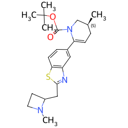 C[C@H]1CC=C(c2ccc3sc(CC4CCN4C)nc3c2)N(C(=O)OC(C)(C)C)C1